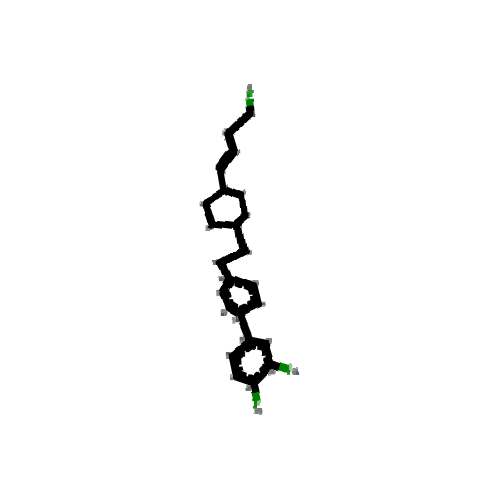 FCCC=CC1CCC(CCc2ccc(-c3ccc(F)c(F)c3)cc2)CC1